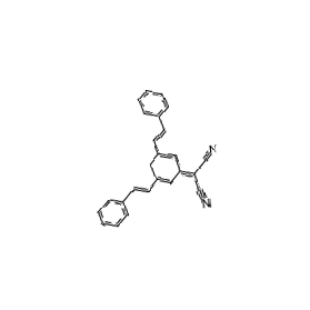 N#CC(C#N)=C1C=C(/C=C/c2ccccc2)CC(/C=C/c2ccccc2)=C1